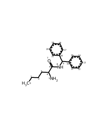 CCCCC(N)C(=O)NC(c1ccccc1)c1ccccc1